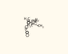 C=CCCC(C(=C)NC)N(C)Cc1cc(C2CCN(Cc3ccc4c(c3)CCCC4)CC2)ccc1C=C